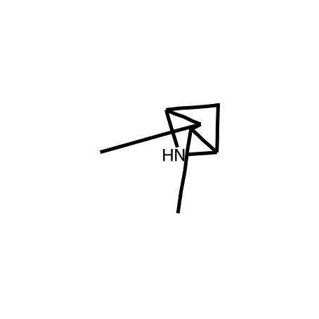 CC1C2CC(N2)C1C